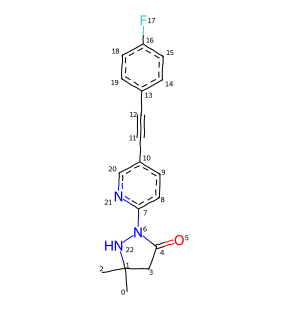 CC1(C)CC(=O)N(c2ccc(C#Cc3ccc(F)cc3)cn2)N1